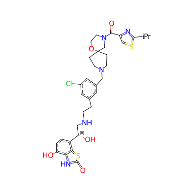 CC(C)c1nc(C(=O)N2CCOC3(CCN(Cc4cc(Cl)cc(CCNC[C@H](O)c5ccc(O)c6[nH]c(=O)sc56)c4)CC3)C2)cs1